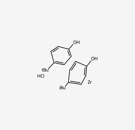 CC(C)(C)c1ccc(O)cc1.CCC(C)c1ccc(O)cc1.Cl.[Zr]